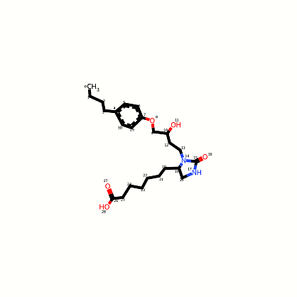 CCCCc1ccc(OCC(O)CCN2C(=O)NCC2CCCCCCC(=O)O)cc1